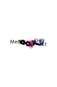 CCN(CC)CC#CC(CS(=O)(=O)N1CCC(c2ccc(OC)cc2)CC1)N(O)C=O